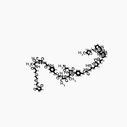 C=C1CO[C@@H](CC[C@]23CC[C@H](O2)C2C[C@@H](O3)[C@H]3O[C@@H](CC(=O)C[C@@H]4CC(C[C@H](O)CNC(=O)OCc5ccc(NC(=O)[C@H](CC(N)=O)NC(=O)[C@H](C)NC(=O)[C@H](C)NC(=O)OCc6ccc(NC(=O)CNC(=O)[C@H](C)NC(=O)[C@H](C)NC(=O)CCOCCOCCN7C(=O)C=CC7=O)cc6)cc5)O[C@H]4C)CC[C@@H]3O2)C1